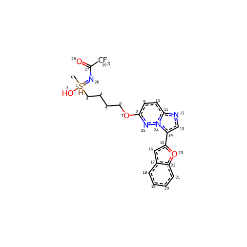 C[SH](O)(CCCCOc1ccc2ncc(-c3cc4ccccc4o3)n2n1)=NC(=O)C(F)(F)F